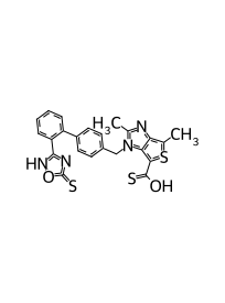 Cc1sc(C(O)=S)c2c1nc(C)n2Cc1ccc(-c2ccccc2-c2nc(=S)o[nH]2)cc1